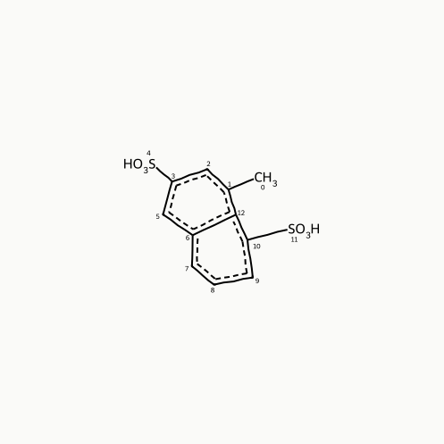 Cc1cc(S(=O)(=O)O)cc2cccc(S(=O)(=O)O)c12